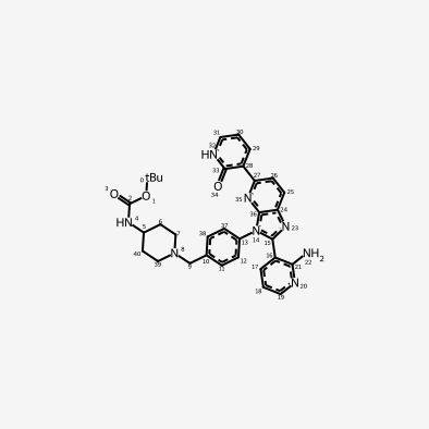 CC(C)(C)OC(=O)NC1CCN(Cc2ccc(-n3c(-c4cccnc4N)nc4ccc(-c5ccc[nH]c5=O)nc43)cc2)CC1